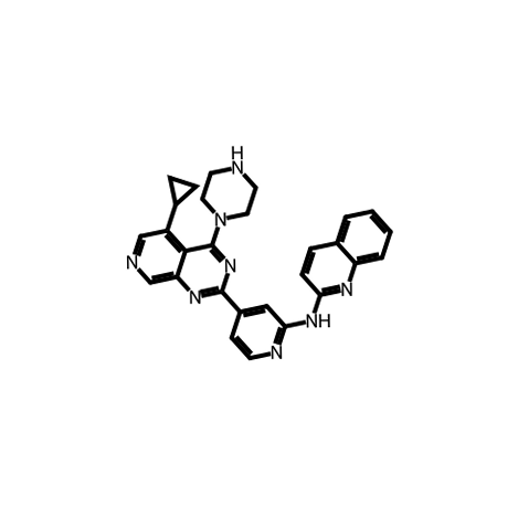 c1ccc2nc(Nc3cc(-c4nc(N5CCNCC5)c5c(C6CC6)cncc5n4)ccn3)ccc2c1